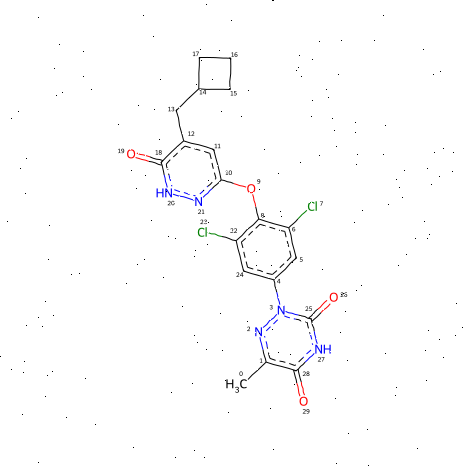 Cc1nn(-c2cc(Cl)c(Oc3cc(CC4CCC4)c(=O)[nH]n3)c(Cl)c2)c(=O)[nH]c1=O